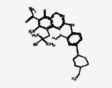 CCC1CCN(c2ccc(Nc3ncc4c(=O)c(C(N)=O)c(N)n(CC(C)(C)O)c4n3)c(OC)c2)CC1